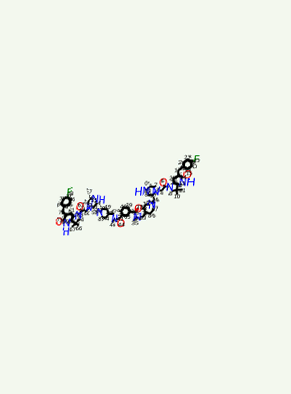 C[C@@H]1CN(CC(=O)N2CC(C)(C)c3[nH]c(=O)c(Cc4ccc(F)cc4)cc32)[C@@H](CN2CCC(CN(C)C(=O)c3cccc(C(=O)N(C)CC4CCN(C[C@H]5CN[C@H](C)CN5CC(=O)N5CC(C)(C)c6[nH]c(=O)c(Cc7ccc(F)cc7)cc65)CC4)c3)CC2)CN1